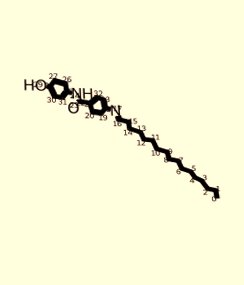 CCCCCCCCCCCCCCCCC=Nc1ccc(C(=O)Nc2ccc(O)cc2)cc1